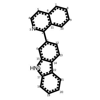 [c]1c(-c2nccc3ccccc23)ccc2c1[nH]c1ccccc12